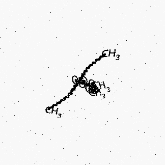 CCCCCC=CCC=CCCCCCCCC(=O)C(CCCCCCCC=CCC=CCCCCC)OC(=O)CCN(S(C)(=O)=O)S(C)(=O)=O